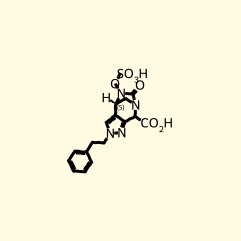 O=C(O)C1c2nn(CCc3ccccc3)cc2[C@H]2CN1C(=O)N2OS(=O)(=O)O